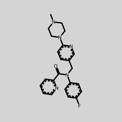 CN1CCN(c2ccc(CN(C(=O)c3ccccn3)c3ccc(F)cc3)cn2)CC1